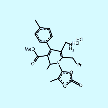 COC(=O)C1=C(c2ccc(C)cc2)C(CN)=C(CC(C)C)N(c2oc(=O)oc2C)C1C.Cl.Cl